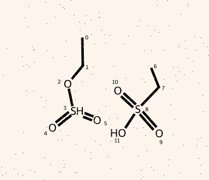 CCO[SH](=O)=O.CCS(=O)(=O)O